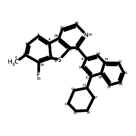 Cc1ccc2c(sc3c(-c4cc(C5CCCCC5)c5ccccc5c4)nccc32)c1F